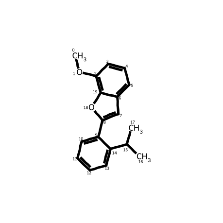 COc1cccc2cc(-c3ccccc3C(C)C)oc12